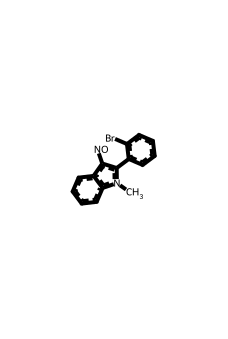 Cn1c(-c2ccccc2Br)c(N=O)c2ccccc21